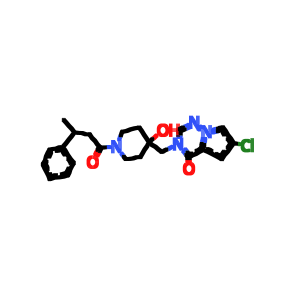 CC(CC(=O)N1CCC(O)(Cn2cnn3cc(Cl)cc3c2=O)CC1)c1ccccc1